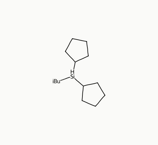 CCC(C)[SiH](C1CCCC1)C1CCCC1